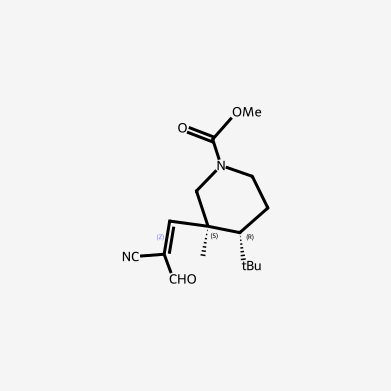 COC(=O)N1CC[C@H](C(C)(C)C)[C@@](C)(/C=C(/C#N)C=O)C1